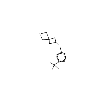 FC(F)(F)c1csc(OC2CC3(CNC3)C2)n1